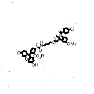 COc1ccc2c(c1)c(CC(=O)NCCCCNC(=O)Nc1ccc(-c3c4ccc(=O)cc-4oc4cc(O)ccc34)c(C(=O)O)c1)c(C)n2C(=O)c1ccc(Cl)cc1